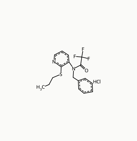 CCCSc1ncccc1N(Cc1ccccc1)C(=O)C(F)(F)F.Cl